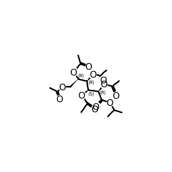 CC(=O)OC[C@@H](OC(C)=O)[C@@H](OC(C)=O)[C@H](OC(C)=O)[C@@H](OC(C)=O)C(=O)OC(C)C